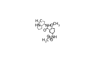 CCC(NC(=O)c1cc(NS(C)(=O)=O)ccc1OC)C1CCCN1